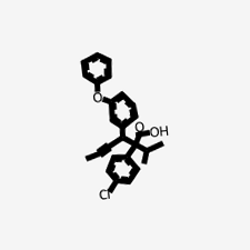 CC#CC(c1cccc(Oc2ccccc2)c1)C(C(=O)O)(c1ccc(Cl)cc1)C(C)C